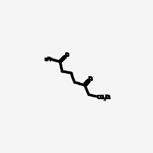 CCCC(=O)CCCC(=O)CC(=O)OCC